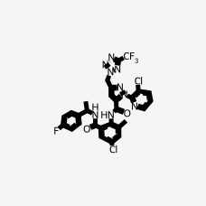 Cc1cc(Cl)cc(C(=O)NC(C)c2ccc(F)cc2)c1NC(=O)c1cc(Cn2nnc(C(F)(F)F)n2)nn1-c1ncccc1Cl